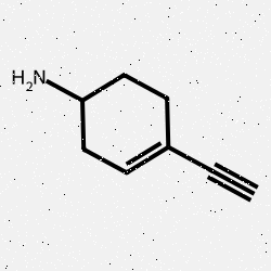 C#CC1=CCC(N)CC1